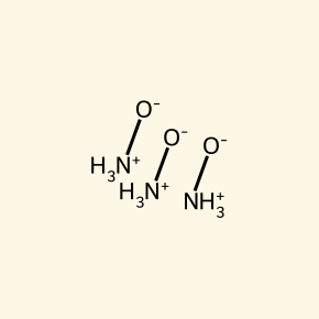 [NH3+][O-].[NH3+][O-].[NH3+][O-]